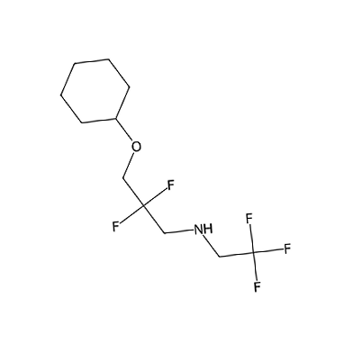 FC(F)(F)CNCC(F)(F)COC1CCCCC1